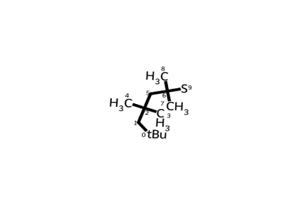 CC(C)(C)CC(C)(C)CC(C)(C)[S]